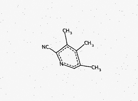 Cc1cnc(C#N)c(C)c1C